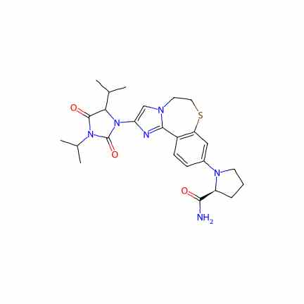 CC(C)C1C(=O)N(C(C)C)C(=O)N1c1cn2c(n1)-c1ccc(N3CCC[C@H]3C(N)=O)cc1SCC2